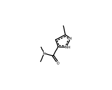 Cc1cc(C(=O)N(C)C)[nH]n1